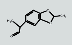 CC1Oc2ccc(C(C)C=O)cc2O1